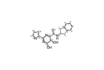 O=C(NC1Cc2ccccc2C1)c1nc(-c2nccs2)nc(O)c1O